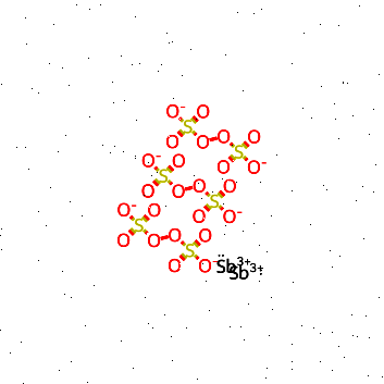 O=S(=O)([O-])OOS(=O)(=O)[O-].O=S(=O)([O-])OOS(=O)(=O)[O-].O=S(=O)([O-])OOS(=O)(=O)[O-].[Sb+3].[Sb+3]